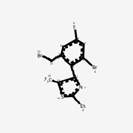 [CH2]Cc1nc(-c2c(Br)cc(F)cc2CBr)c(C(F)(F)F)s1